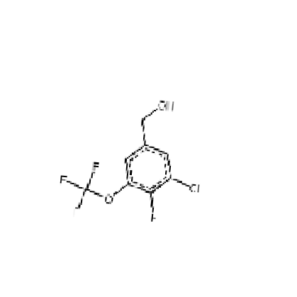 OCc1cc(Cl)c(F)c(OC(F)(F)F)c1